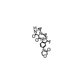 NC(=O)[C@@H](C(=O)Nc1ccc(N2CCOCC2=O)cc1C(F)F)N(C1CC1)C1CC1